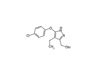 CCc1c(CO)n[nH]c1Oc1ccc(Cl)cc1